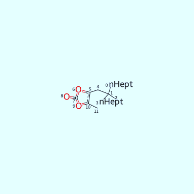 CCCCCCCC(C)(CCCCCCC)Cc1oc(=O)oc1C